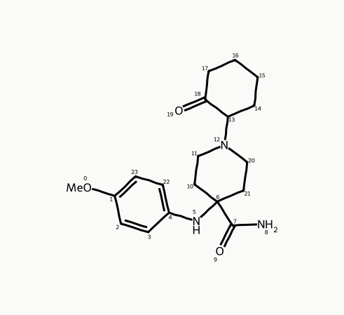 COc1ccc(NC2(C(N)=O)CCN(C3CCCCC3=O)CC2)cc1